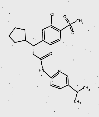 CN(C)c1ccc(NC(=O)C[C@@H](c2ccc(S(C)(=O)=O)c(Cl)c2)C2CCCC2)nc1